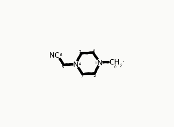 [CH2]N1CCN(CC#N)CC1